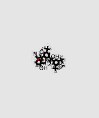 COc1c(C(C)(C)C)cc(C(O)(c2cc(C(C)(C)C)c(OC)c(C(C)(C)C)c2)C(C)N=Cc2cc(C#N)ccc2O)cc1C(C)(C)C